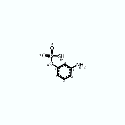 Nc1cccc(OS(=O)(=O)S)c1